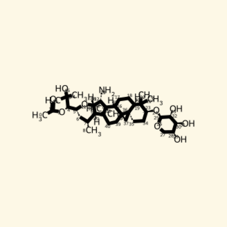 CC(=O)O[C@@H]([C@H]1C[C@@H](C)[C@H]2[C@H](O1)[C@H](N)[C@@]1(C)[C@@H]3CC[C@H]4C(C)(C)[C@@H](O[C@@H]5OC[C@@H](O)[C@H](O)[C@H]5O)CC[C@@]45C[C@@]35CC[C@]21C)C(C)(C)O